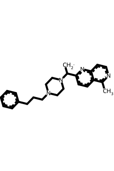 [CH2]C(c1ccc2c(C)nccc2n1)N1CCN(CCCc2ccccc2)CC1